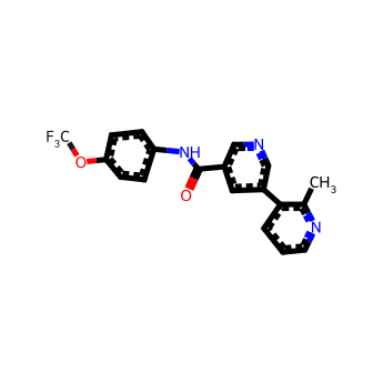 Cc1ncccc1-c1cncc(C(=O)Nc2ccc(OC(F)(F)F)cc2)c1